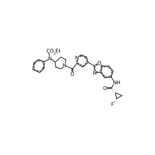 CCOC(=O)N(c1ccccc1)C1CCN(C(=O)c2cc(-c3nc4cc(NC(=O)[C@@H]5C[C@@H]5F)ccc4o3)ccn2)CC1